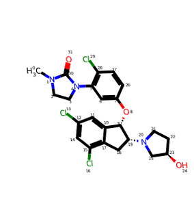 CN1CCN(c2cc(O[C@H]3c4cc(Cl)cc(Cl)c4C[C@H]3N3CC[C@@H](O)C3)ccc2Cl)C1=O